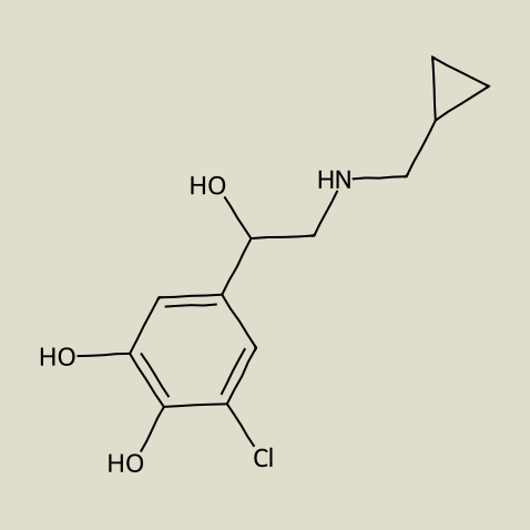 Oc1cc(C(O)CNCC2CC2)cc(Cl)c1O